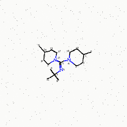 CC1CCN(C(=NC(C)(C)C)N2CCC(C)CC2)CC1